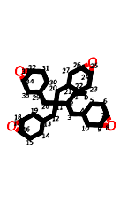 CCC(CC1CCC2OC2C1)C(CC1CCC2OC2C1)(CC1CCC2OC2C1)CC1CCC2OC2C1